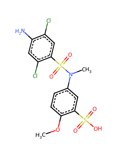 COc1ccc(N(C)S(=O)(=O)c2cc(Cl)c(N)cc2Cl)cc1S(=O)(=O)O